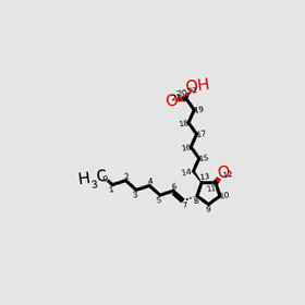 CCCCCC/C=C/[C@H]1CCC(=O)[C@@H]1CCCCCCC(=O)O